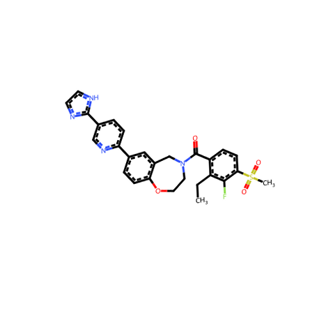 CCc1c(C(=O)N2CCOc3ccc(-c4ccc(-c5ncc[nH]5)cn4)cc3C2)ccc(S(C)(=O)=O)c1F